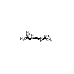 CC(N)CNCCCNCC(C)N